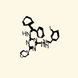 Ic1cccc(/C=N/Nc2nc(NC(c3ccccc3)c3ccccc3)nc(N3CCOCC3)n2)c1